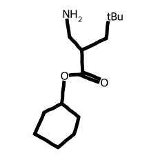 CC(C)(C)CC(CN)C(=O)OC1CCCCC1